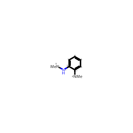 CNNc1ccccc1NC